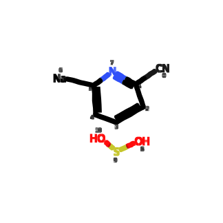 N#Cc1ccc[c]([Na])n1.OSO